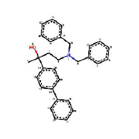 CC(O)(CCN(Cc1ccccc1)Cc1ccccc1)c1ccc(-c2ccccc2)cc1